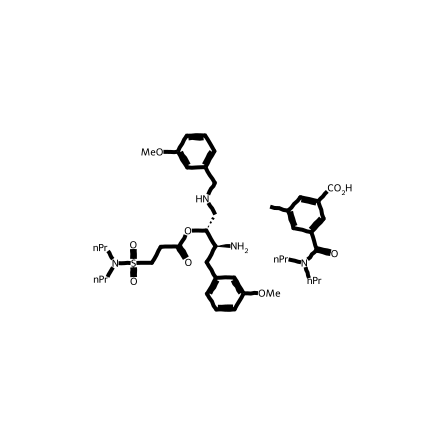 CCCN(CCC)C(=O)c1cc(C)cc(C(=O)O)c1.CCCN(CCC)S(=O)(=O)CCC(=O)O[C@H](CNCc1cccc(OC)c1)[C@@H](N)Cc1cccc(OC)c1